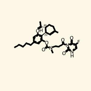 C=C(C)[C@@H]1CCC(C)=C[C@H]1c1c(O)cc(CCCCC)cc1OC(=O)N(C)CCC(=O)n1c(=O)[nH]cc(F)c1=O